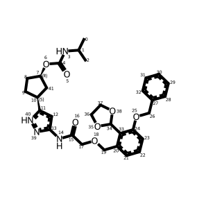 CC(C)NC(=O)O[C@@H]1CC[C@H](c2cc(NC(=O)COCc3cccc(OCc4ccccc4)c3C3OCCO3)n[nH]2)C1